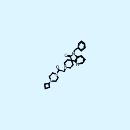 O=C(CN1CCC2(CC1)C(=O)N(Cc1ccccc1)c1cccnc12)N1CCN(C2CCC2)CC1